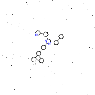 CC1CC=Cc2c1c1ccccc1c1cc(-c3ccc(-c4nc(-c5cccc(-c6ccccc6)c5)cc(-c5cccc(-c6cccnc6)c5)n4)cc3)ccc21